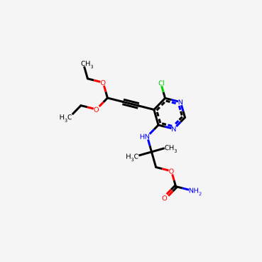 CCOC(C#Cc1c(Cl)ncnc1NC(C)(C)COC(N)=O)OCC